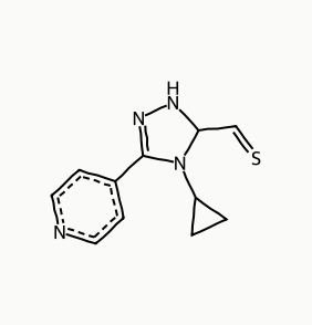 S=CC1NN=C(c2ccncc2)N1C1CC1